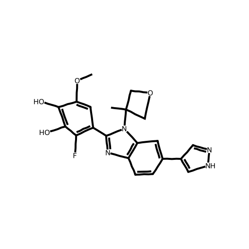 COc1cc(-c2nc3ccc(-c4cn[nH]c4)cc3n2C2(C)COC2)c(F)c(O)c1O